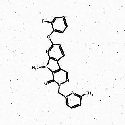 Cc1cccc(Cn2ncc3c4ccc(Oc5ccccc5F)nc4n(C)c3c2=O)n1